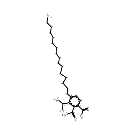 CCCCCCCCCCCCCCCCc1ccc(C(=O)O)c(C(=O)O)c1C(C)C